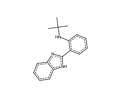 CC(C)(C)Nc1ccccc1-c1nc2ccccc2[nH]1